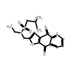 CCN(Cc1cc2c(o1)C(=O)c1cccnc1C2=O)S(=O)(=O)CC(C)C